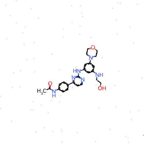 CC(=O)Nc1ccc(-c2ccnc(Nc3cc(NCCO)cc(N4CCOCC4)c3)n2)cc1